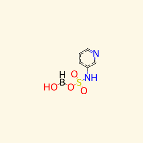 O=S(=O)(Nc1cccnc1)OBO